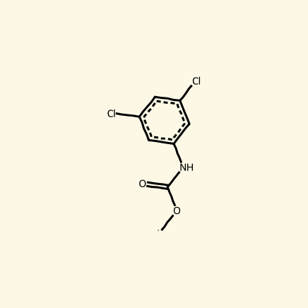 [CH2]OC(=O)Nc1cc(Cl)cc(Cl)c1